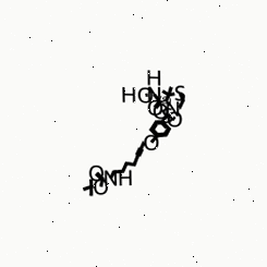 CC(C)(C)OC(=O)NCCCCC#CCOc1ccc(S(=O)(=O)N2CCSC(C)(C)[C@@H]2C(=O)NO)cc1